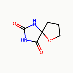 O=C1NC(=O)C2(CCCO2)N1